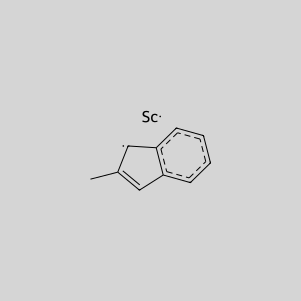 CC1=Cc2ccccc2[CH]1.[Sc]